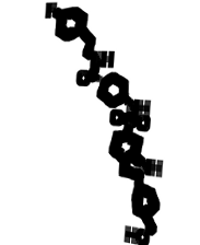 O=C(NCCc1ccc(F)cc1)[C@H]1CC[C@H](NS(=O)(=O)c2ccc3cc(-c4ccc(CO)cc4)[nH]c3c2)CC1